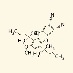 CCCC(C)(C)c1cc(Oc2cc(C#N)c(C#N)cc2Cl)c(C(C)(C)CCC)cc1OC